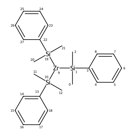 C[Si](C)(c1ccccc1)[Zr]([Si](C)(C)c1ccccc1)[Si](C)(C)c1ccccc1